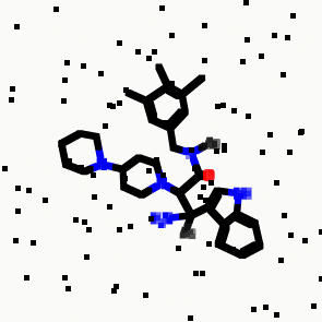 CC(=O)N(Cc1cc(C)c(C)c(C)c1)C(=O)C(N1CCC(N2CCCCC2)CC1)C(N)(C(C)=O)c1c[nH]c2ccccc12